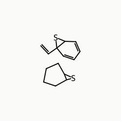 C1CCC2SC2C1.C=CC12C=CC=CC1S2